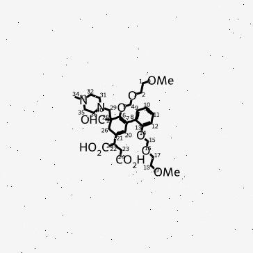 COCCOCOC1=C(c2ccccc2OCOCCOC)C=C(C(CC(=O)O)C(=O)O)CC1(C=O)CN1CCN(C)CC1